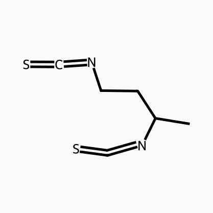 CC(CCN=C=S)N=C=S